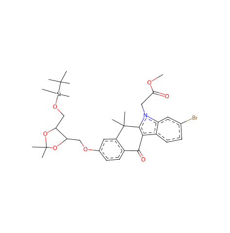 COC(=O)Cn1c2c(c3ccc(Br)cc31)C(=O)c1ccc(OCC3OC(C)(C)OC3CO[Si](C)(C)C(C)(C)C)cc1C2(C)C